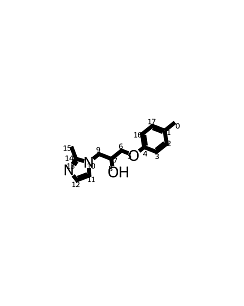 Cc1ccc(OCC(O)Cn2ccnc2C)cc1